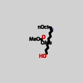 CCCCCCCC/C=C\CCCCCCCCO.COC(=O)OC